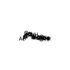 CC(=O)N1CCN(C(=O)c2ccc(Nc3nccc(-c4ccc(S(=O)(=O)N5CCC(N6CCCC6)CC5)cc4)n3)cc2)CC1